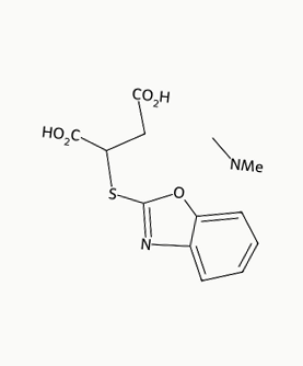 CNC.O=C(O)CC(Sc1nc2ccccc2o1)C(=O)O